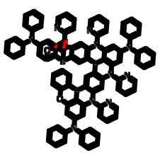 c1ccc(N(c2ccccc2)c2cc3c4c(c2)N(c2ccccn2)c2cc5c(cc2B4c2ccccc2O3)B2c3cc4c(cc3N(c3ccccn3)c3cc(N(c6ccccc6)c6ccccc6)cc(c32)N5c2ccccn2)N(c2ccccn2)c2cc(N(c3ccccc3)c3ccccc3)cc3c2B4c2ccccc2O3)cc1